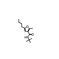 CCCCc1cc(C(=O)NC(C)(C)C)c(C)o1